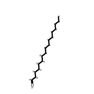 CCCCCCCCCCCCCCCC[C]=O